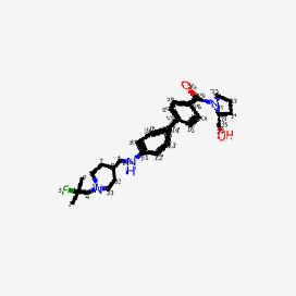 CC(C)(F)CN1CCC(CNc2ccc(-c3ccc(C(=O)N4CCC[C@H]4CO)cc3)cc2)CC1